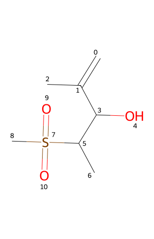 C=C(C)C(O)C(C)S(C)(=O)=O